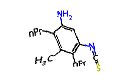 CCCc1c(N)cc(N=C=S)c(CCC)c1C